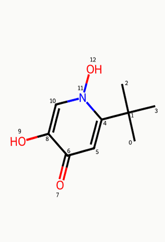 CC(C)(C)c1cc(=O)c(O)cn1O